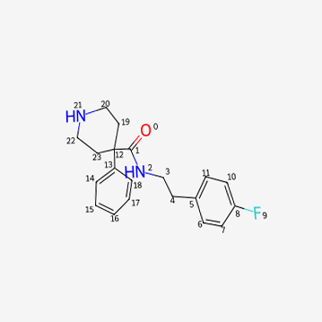 O=C(NCCc1ccc(F)cc1)C1(c2ccccc2)CCNCC1